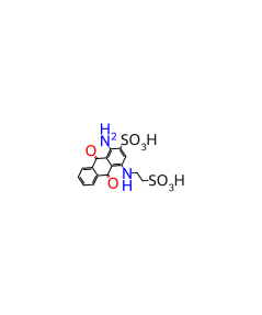 Nc1c(S(=O)(=O)O)cc(NCCS(=O)(=O)O)c2c1C(=O)c1ccccc1C2=O